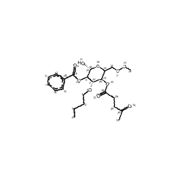 CCCCO[C@@H]1C(OC(=O)c2ccccc2)[C@H](O)OC(COOC)[C@H]1OC(=O)CCC(C)=O